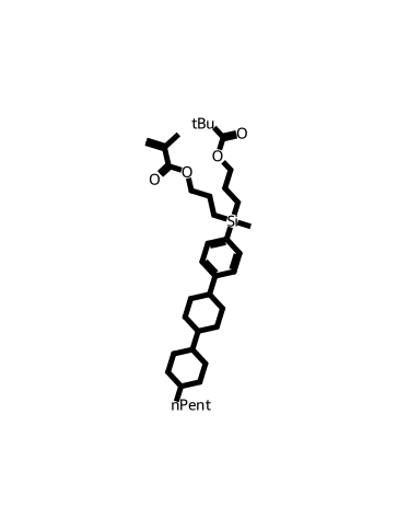 C=C(C)C(=O)OCCC[Si](C)(CCCOC(=O)C(C)(C)C)c1ccc(C2CCC(C3CCC(CCCCC)CC3)CC2)cc1